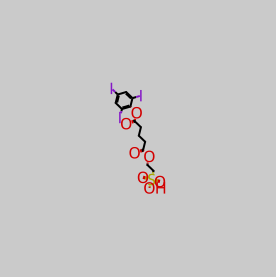 O=C(CCCC(=O)Oc1c(I)cc(I)cc1I)OCCS(=O)(=O)O